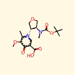 COc1c(C)n([C@@H]2COC[C@H]2N(C)C(=O)OC(C)(C)C)cc(C(=O)O)c1=O